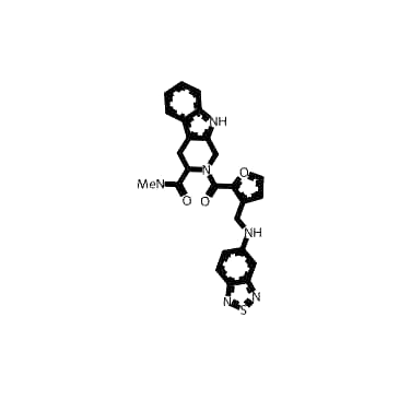 CNC(=O)C1Cc2c([nH]c3ccccc23)CN1C(=O)c1occc1CNc1ccc2nsnc2c1